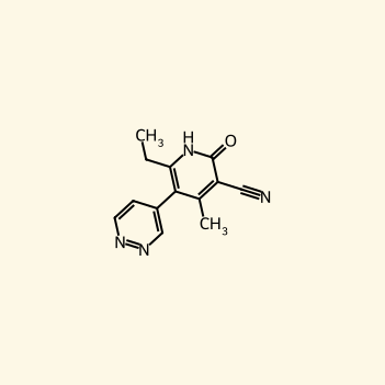 CCc1[nH]c(=O)c(C#N)c(C)c1-c1ccnnc1